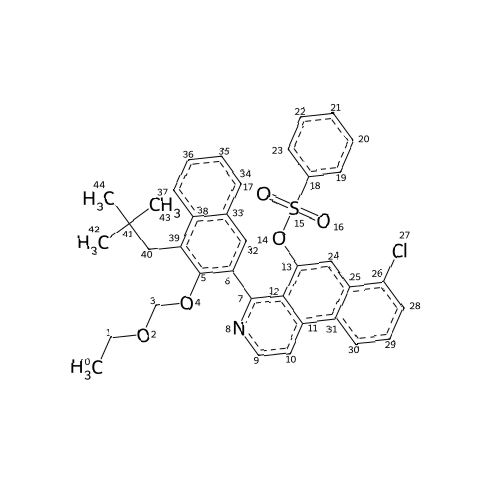 CCOCOc1c(-c2nccc3c2c(OS(=O)(=O)c2ccccc2)cc2c(Cl)cccc23)cc2ccccc2c1CC(C)(C)C